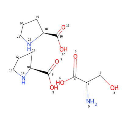 N[C@@H](CO)C(=O)O.O=C(O)[C@@H]1CCCN1.O=C(O)[C@@H]1CCCN1